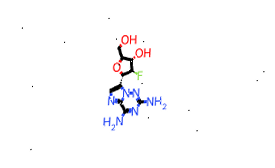 Nc1nc(N)c2ncc([C@@H]3OC(CO)[C@@H](O)[C@H]3F)n2n1